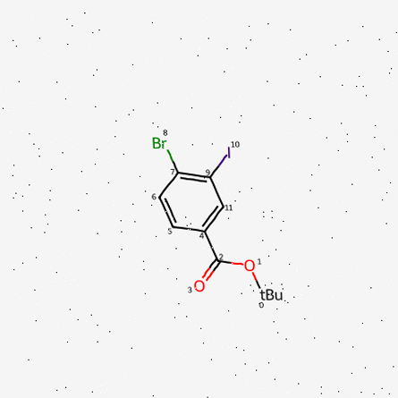 CC(C)(C)OC(=O)c1ccc(Br)c(I)c1